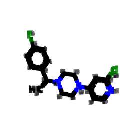 CC(c1ccc(F)cc1)N1CCN(c2ccnc(Cl)c2)CC1